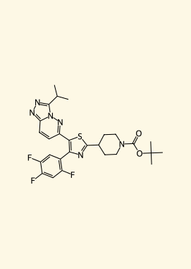 CC(C)c1nnc2ccc(-c3sc(C4CCN(C(=O)OC(C)(C)C)CC4)nc3-c3cc(F)c(F)cc3F)nn12